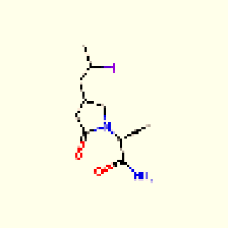 CC[C@@H](C(N)=O)N1CC(CC(C)I)CC1=O